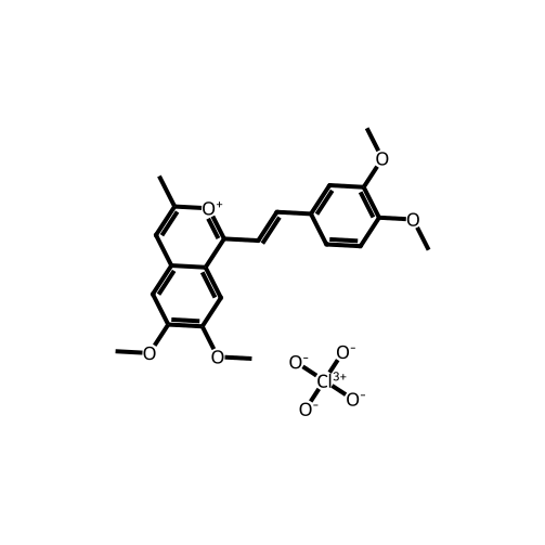 COc1ccc(/C=C/c2[o+]c(C)cc3cc(OC)c(OC)cc23)cc1OC.[O-][Cl+3]([O-])([O-])[O-]